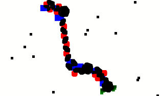 O=C(c1cc2cc(N3CC[C@@](O)(C(=O)NCc4cc(F)cc(F)c4)O3)ccc2[nH]1)N1CCN(CCOCCOCCOCCOCCNc2cccc3c2ON(C2CCONO2)O3)CC1